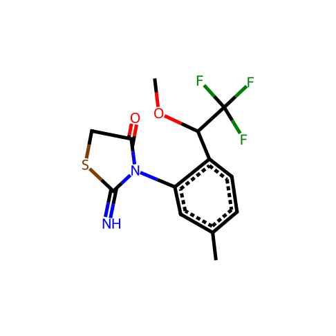 COC(c1ccc(C)cc1N1C(=N)SCC1=O)C(F)(F)F